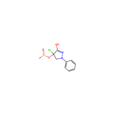 C[PH](=O)OC1(Cl)CN(c2ccccc2)N=C1O